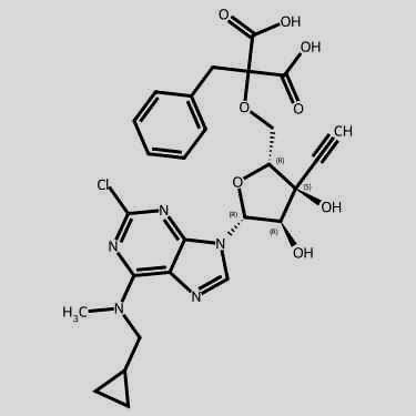 C#C[C@@]1(O)[C@@H](COC(Cc2ccccc2)(C(=O)O)C(=O)O)O[C@@H](n2cnc3c(N(C)CC4CC4)nc(Cl)nc32)[C@@H]1O